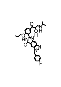 CCCOc1ccc(C(=O)C(O)CNC(C)C)cc1-c1nc2cc3ncn(Cc4ccc(F)cc4)c3cc2c(=O)[nH]1